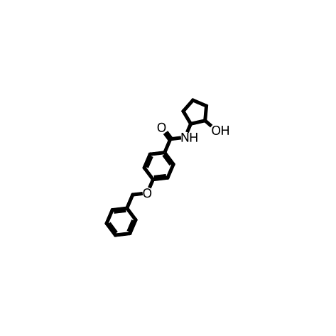 O=C(NC1CCCC1O)c1ccc(OCc2ccccc2)cc1